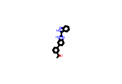 CC(=O)c1cccc(-c2ccc3nc(-c4[nH]nc5ccccc45)[nH]c3c2)c1